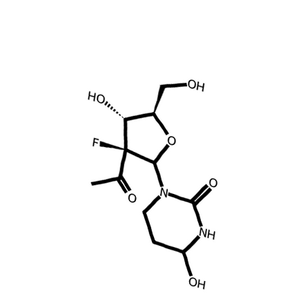 CC(=O)[C@@]1(F)C(N2CCC(O)NC2=O)O[C@H](CO)[C@H]1O